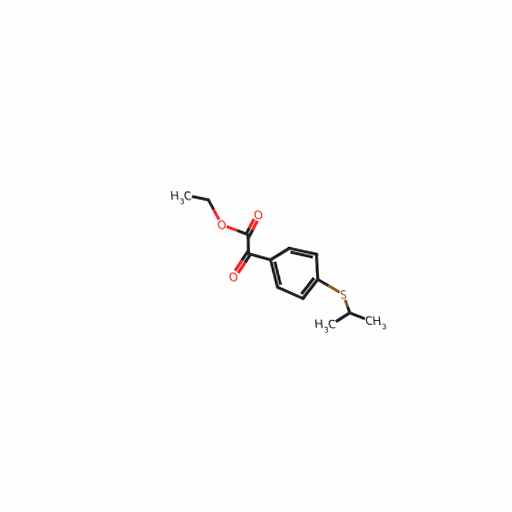 CCOC(=O)C(=O)c1ccc(SC(C)C)cc1